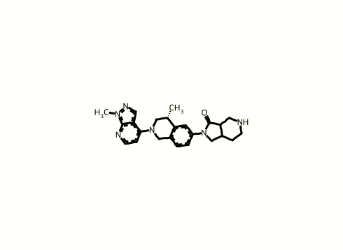 C[C@H]1CN(c2ccnc3c2cnn3C)Cc2ccc(N3CC4CCNCC4C3=O)cc21